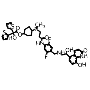 CN(CCC(=O)Nc1cc(F)c(CNC[C@@H](O)c2ccc(O)c3[nH]c(=O)ccc23)cc1F)C1CCC(OC(=O)C(O)(c2cccs2)c2cccs2)CC1